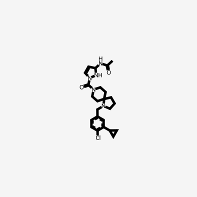 CC(=O)NC1C=CN(C(=O)N2CCC3(CCCN3Cc3ccc(Cl)c(C4CC4)c3)CC2)N1